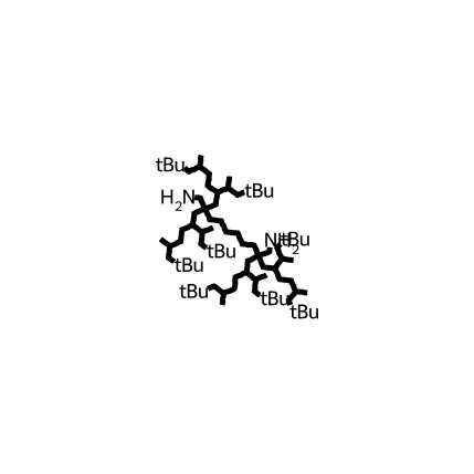 CC(CCC(CC(CN)(CCCCCCC(CN)(CC(CCC(C)CC(C)(C)C)C(C)CC(C)(C)C)CC(CCC(C)CC(C)(C)C)C(C)CC(C)(C)C)CC(CCC(C)CC(C)(C)C)C(C)CC(C)(C)C)C(C)CC(C)(C)C)CC(C)(C)C